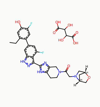 CCc1cc(O)c(F)cc1-c1cc(F)c2c(-c3nc4c([nH]3)CCN(C(=O)CN3C[C@H]5C[C@@H]3CO5)C4)n[nH]c2c1.O=C(O)C(O)C(O)C(=O)O